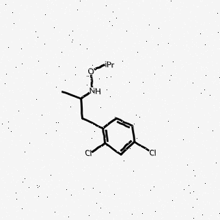 CC(Cc1ccc(Cl)cc1Cl)NOC(C)C